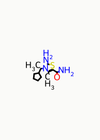 CC1=C(C(N)=O)SC(N)N1C(C)C1CCCC1